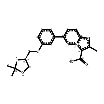 Cc1nc2ccc(-c3cccc(OC[C@H]4COC(C)(C)O4)c3)nn2c1C(=O)O